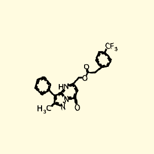 Cc1nn2c(=O)cc(COC(=O)Cc3ccc(C(F)(F)F)cc3)[nH]c2c1-c1ccccc1